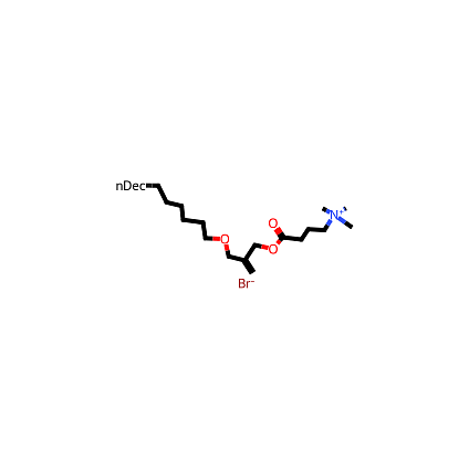 C=C(COCCCCCCCCCCCCCCCC)COC(=O)CCC[N+](C)(C)C.[Br-]